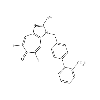 CCCc1nc2cc(I)c(=O)c(I)cc2n1Cc1ccc(-c2ccccc2C(=O)O)cc1